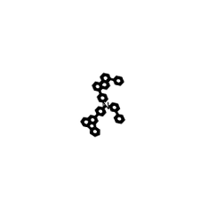 c1ccc(-c2cccc(N(c3ccc(-c4cc5c6c(cccc6c4)-c4ccccc4-5)cc3)c3ccc(-c4cccc5c4ccc4c(-c6ccccc6)cccc45)cc3)c2)cc1